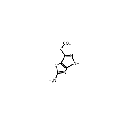 Nc1nc2[nH]nc(NC(=O)O)c2s1